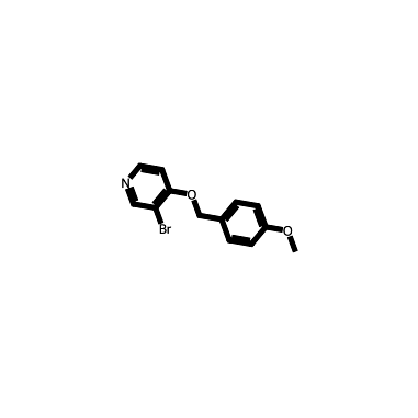 COc1ccc(COc2ccncc2Br)cc1